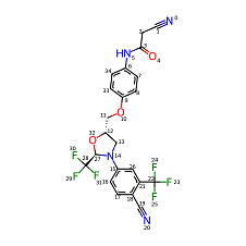 N#CCC(=O)Nc1ccc(OC[C@@H]2CN(c3ccc(C#N)c(C(F)(F)F)c3)[C@@H](C(F)(F)F)O2)cc1